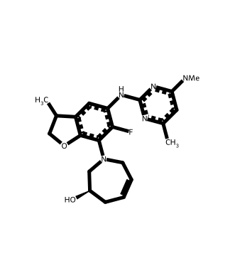 CNc1cc(C)nc(Nc2cc3c(c(N4CC=CC[C@@H](O)C4)c2F)OCC3C)n1